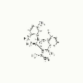 C=C(C)N1C(=C)c2cccc(F)c2C2CC1C(=C)N2c1cc(C)ccc1C